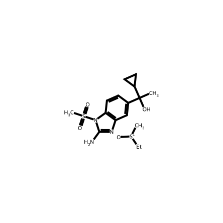 CC(O)(c1ccc2c(c1)nc(N)n2S(C)(=O)=O)C1CC1.CC[S+](C)[O-]